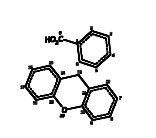 O=C(O)c1ccccc1.c1ccc2c(c1)Cc1ccccc1O2